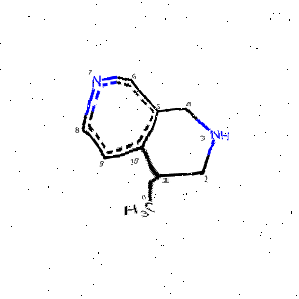 CC1CNCc2cnccc21